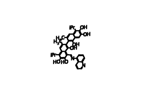 Cc1cc2c(C(C)C)c(O)c(O)cc2c(O)c1-c1c(C)cc2c(C(C)C)c(O)c(O)c(/C=N/c3cccc4ncccc34)c2c1O